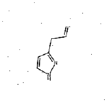 [CH]=CCc1cc[nH]n1